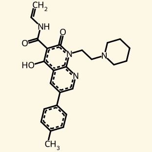 C=CNC(=O)c1c(O)c2cc(-c3ccc(C)cc3)cnc2n(CCN2CCCCC2)c1=O